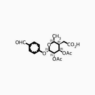 CC(=O)O[C@@H]1[C@H](Oc2ccc(C=O)cc2)O[C@@H](C)[C@@H](CC(=O)O)[C@H]1OC(C)=O